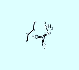 CCCC.NN=S(=O)=O